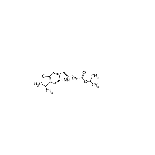 CC(C)OC(=O)NCc1cc2cc(Cl)c(C(C)C)cc2[nH]1